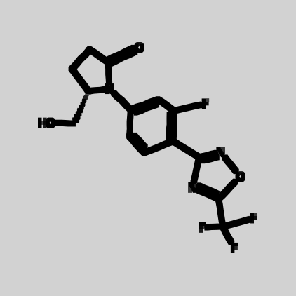 O=C1CC[C@@H](CO)N1c1ccc(-c2noc(C(F)(F)F)n2)c(F)c1